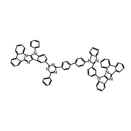 c1ccc(-c2nc(-c3ccc(-c4ccc(-n5c(-c6cccc(-n7c8ccccc8c8nc9c%10ccccc%10c%10ccccc%10n9c87)c6)nc6ccccc65)cc4)cc3)nc(-c3ccc4c(c3)c3nc5c6ccccc6c6ccccc6n5c3n4-c3ccccc3)n2)cc1